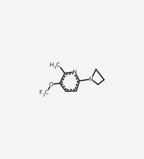 Cc1nc(N2CCC2)ccc1OC(F)(F)F